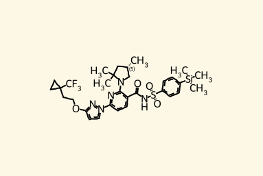 C[C@@H]1CN(c2nc(-n3ccc(OCCC4(C(F)(F)F)CC4)n3)ccc2C(=O)NS(=O)(=O)c2ccc([Si](C)(C)C)cc2)C(C)(C)C1